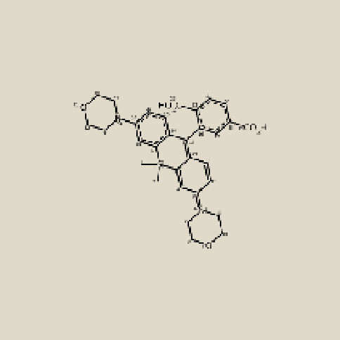 C[Si]1(C)C2=CC(=[N+]3CCOCC3)C=CC2=C(c2cc(C(=O)O)ccc2C(=O)O)c2ccc(N3CCOCC3)cc21